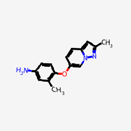 Cc1cc2ccc(Oc3ccc(N)cc3C)cn2n1